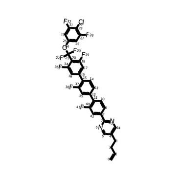 C=CCCc1cnc(-c2ccc(-c3ccc(-c4cc(F)c(C(F)(F)Oc5cc(F)c(Cl)c(F)c5)c(F)c4)c(F)c3)c(F)c2)nc1